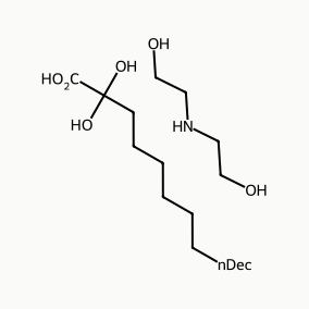 CCCCCCCCCCCCCCCCC(O)(O)C(=O)O.OCCNCCO